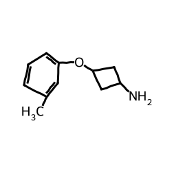 Cc1cccc(OC2CC(N)C2)c1